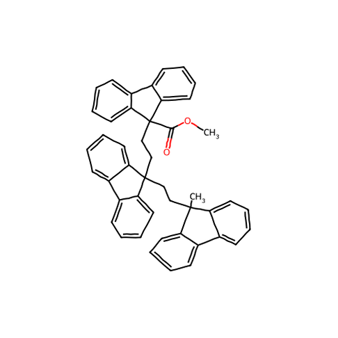 COC(=O)C1(CCC2(CCC3(C)c4ccccc4-c4ccccc43)c3ccccc3-c3ccccc32)c2ccccc2-c2ccccc21